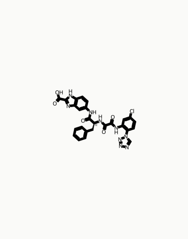 O=C(Nc1cc(Cl)ccc1-n1cnnn1)C(=O)N[C@@H](Cc1ccccc1)C(=O)Nc1ccc2[nH]c(C(=O)O)nc2c1